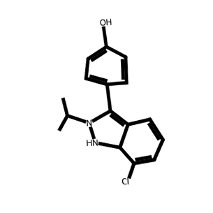 CC(C)N1NC2C(Cl)=CC=CC2=C1c1ccc(O)cc1